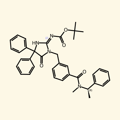 C[C@H](c1ccccc1)N(C)C(=O)c1cccc(CN2C(=O)C(c3ccccc3)(c3ccccc3)N/C2=N/C(=O)OC(C)(C)C)c1